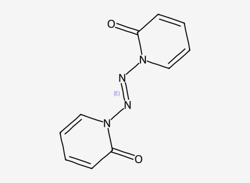 O=c1ccccn1/N=N/n1ccccc1=O